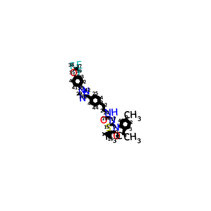 Cc1ccc(C(C)C)c(N2C(=O)C3(CC3)S/C2=N\C(=O)NCCc2ccc(-c3ncn(-c4ccc(OC(F)(F)F)cc4)n3)cc2)c1